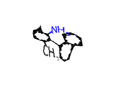 Cc1cccc(N)c1-c1cccc2ccccc12